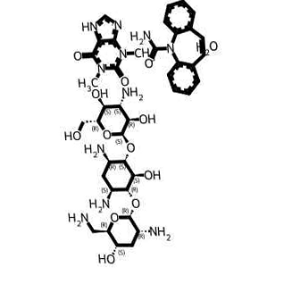 Cn1c(=O)c2[nH]cnc2n(C)c1=O.NC(=O)N1c2ccccc2C=Cc2ccccc21.NC[C@H]1O[C@H](O[C@H]2[C@H](O)[C@@H](O[C@H]3O[C@H](CO)[C@@H](O)[C@H](N)[C@H]3O)[C@H](N)C[C@@H]2N)[C@H](N)C[C@@H]1O.O